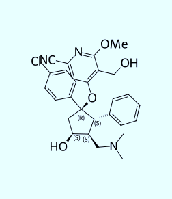 COc1nc(C#N)cc(O[C@]2(c3ccc(Cl)cc3)C[C@H](O)[C@H](CN(C)C)[C@H]2c2ccccc2)c1CO